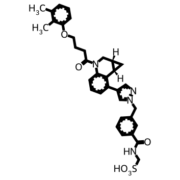 Cc1cccc(OCCCC(=O)N2C[C@@H]3C[C@@H]3c3c(-c4cnn(Cc5cccc(C(=O)NCS(=O)(=O)O)c5)c4)cccc32)c1C